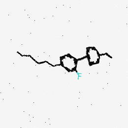 CCCCCCc1ccc(-c2ccc(CC)cc2)c(F)c1